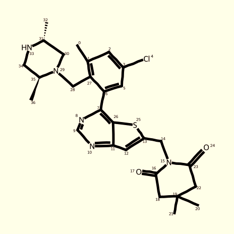 Cc1cc(Cl)cc(-c2ncnc3cc(CN4C(=O)CC(C)(C)CC4=O)sc23)c1CN1C[C@@H](C)NC[C@@H]1C